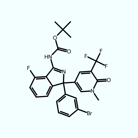 Cn1cc(C2(c3cccc(Br)c3)N=C(NC(=O)OC(C)(C)C)c3c(F)cccc32)cc(C(F)(F)F)c1=O